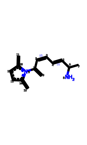 C=C(/C=C\C=C\C(C)N)n1c(=C)ccc1=C